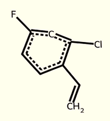 C=Cc1ccc(F)cc1Cl